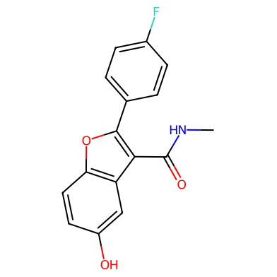 CNC(=O)c1c(-c2ccc(F)cc2)oc2ccc(O)cc12